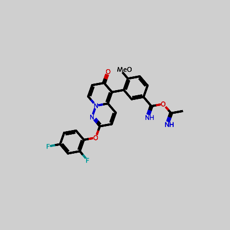 COc1ccc(C(=N)OC(C)=N)cc1-c1c(=O)ccn2nc(Oc3ccc(F)cc3F)ccc12